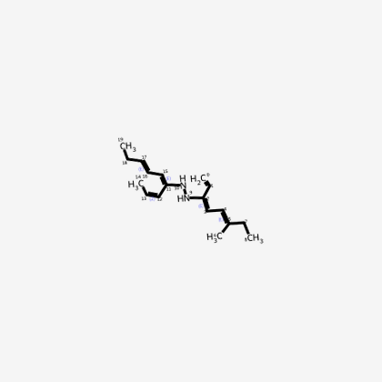 C=C/C(=C\C=C(/C)CC)NNC(/C=C\C)=C/C=C/CC